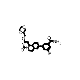 NC(=O)c1cc(F)cc(-c2ccc3c(c2)CCn2c-3cc(OCC3COCCO3)nc2=O)c1